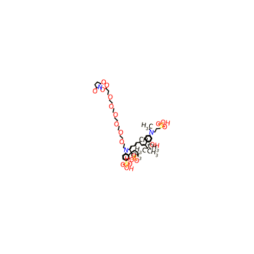 C=C(/C=C(\c1ccc(N(CC)CCCS(=O)(=O)O)cc1O)C(C)(C)C)/C=C/C=C1/N(CCOCCOCCOCCOCCOCCOCCC(=O)ON2C(=O)CCC2=O)c2ccc(S(=O)(=O)O)cc2C1(C)CCCS(=O)(=O)O